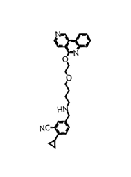 N#Cc1cc(CNCCCCOCCOc2nc3ccccc3c3cnccc23)ccc1C1CC1